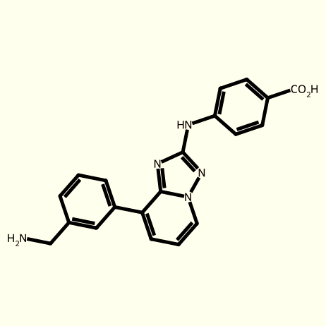 NCc1cccc(-c2cccn3nc(Nc4ccc(C(=O)O)cc4)nc23)c1